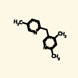 Cc1ccc(Cc2cnc(C)cc2C)nc1